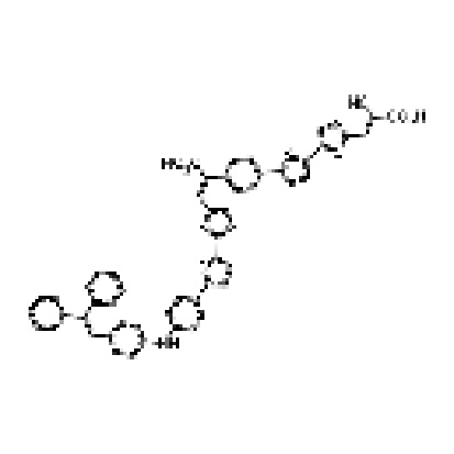 N#C/C(=C\c1ccc(-c2ccc(-c3ccc(/C(=C\c4ccc(-c5ccc(-c6ccc(Nc7ccc(C=C(c8ccccc8)c8ccccc8)cc7)cc6)s5)s4)C(=O)O)cc3)s2)s1)C(=O)O